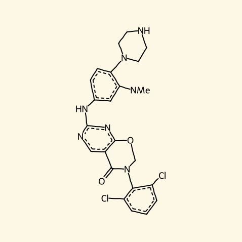 CNc1cc(Nc2ncc3c(n2)OCN(c2c(Cl)cccc2Cl)C3=O)ccc1N1CCNCC1